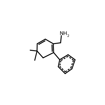 CC1(C)C=CC(CN)=C(c2ccccc2)C1